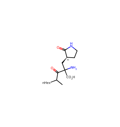 CCCCCCC(C)C(=O)C(N)(C[C@@H]1CCNC1=O)C(=O)O